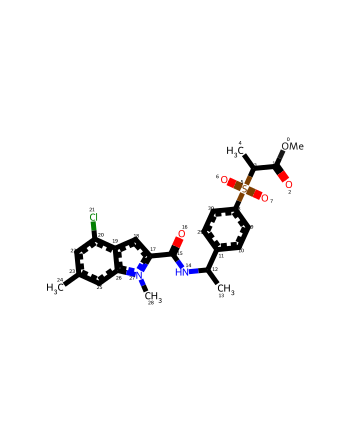 COC(=O)C(C)S(=O)(=O)c1ccc(C(C)NC(=O)c2cc3c(Cl)cc(C)cc3n2C)cc1